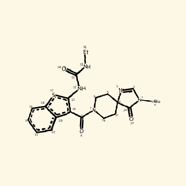 CCCCN1C=NC2(CCN(C(=O)c3c(NC(=O)NCC)sc4ccccc34)CC2)C1=O